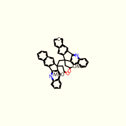 COC(=O)CC1(CC2(CC(=O)OC)c3cc4ccccc4cc3-c3nc4ccccc4cc32)c2cc3ccccc3cc2-c2nc3ccccc3cc21